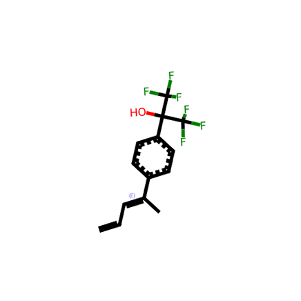 C=C/C=C(\C)c1ccc(C(O)(C(F)(F)F)C(F)(F)F)cc1